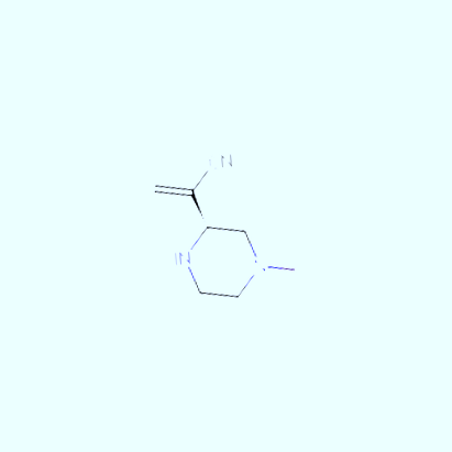 C=C(C#N)[C@H]1CN(I)CCN1